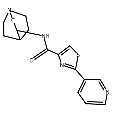 O=C(NC1CN2CCC1CC2)c1csc(-c2cccnc2)n1